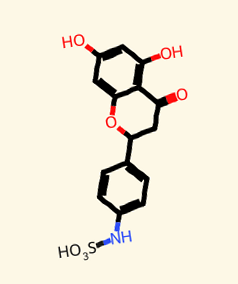 O=C1CC(c2ccc(NS(=O)(=O)O)cc2)Oc2cc(O)cc(O)c21